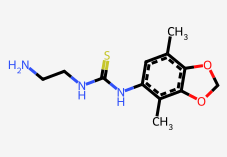 Cc1cc(NC(=S)NCCN)c(C)c2c1OCO2